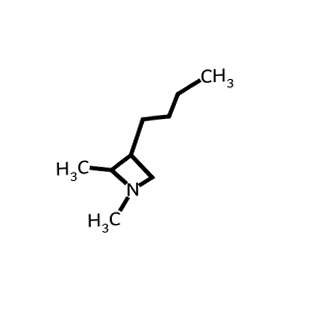 CCCCC1CN(C)C1C